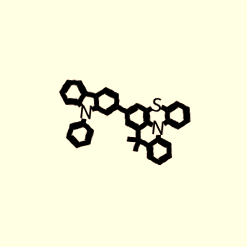 CC1(C)c2ccccc2N2c3ccccc3Sc3cc(C4=CC5C(C=C4)c4ccccc4N5c4ccccc4)cc1c32